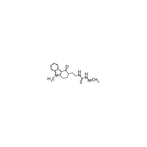 C=NNC(=S)NCCC1CCc2c(c3ccccc3n2C)C1=O